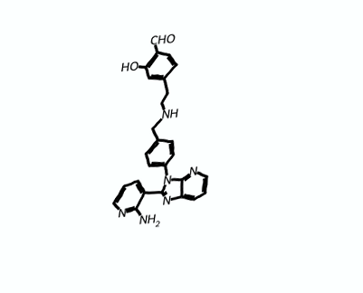 Nc1ncccc1-c1nc2cccnc2n1-c1ccc(CNCCc2ccc(C=O)c(O)c2)cc1